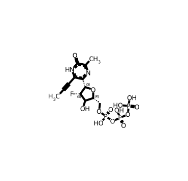 CC#Cc1[nH]c(=O)c(C)nc1[C@@H]1O[C@H](COP(=O)(O)OP(=O)(O)OP(=O)(O)O)C(O)[C@@H]1F